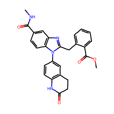 CNC(=O)c1ccc2c(c1)nc(Cc1ccccc1C(=O)OC)n2-c1ccc2c(c1)CCC(=O)N2